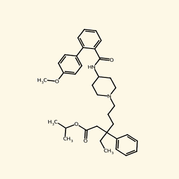 CCC(CCCN1CCC(NC(=O)c2ccccc2-c2ccc(OC)cc2)CC1)(CC(=O)OC(C)C)c1ccccc1